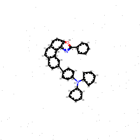 c1ccc(-c2nc3c(ccc4ccc5ccc(-c6ccc(N(c7ccccc7)c7ccccc7)cc6)cc5c43)o2)cc1